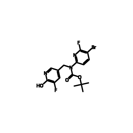 CC(C)(C)OC(=O)N(Cc1cnc(O)c(F)c1)c1ccc(Br)c(F)n1